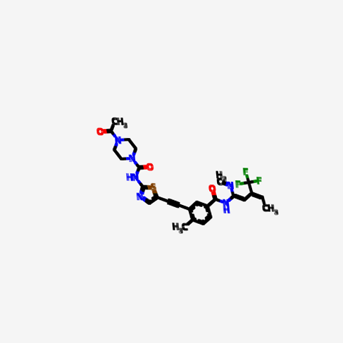 C=N/C(=C\C(=C/C)C(F)(F)F)NC(=O)c1ccc(C)c(C#Cc2cnc(NC(=O)N3CCN(C(C)=O)CC3)s2)c1